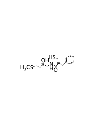 CSCC[C@@H](O)CNC(=O)[C@H](CS)Cc1ccccc1